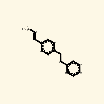 O=C(O)C=Cc1ccc(CCc2ccccc2)cc1